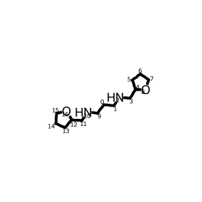 C(CNCC1CCCO1)CNCC1CCCO1